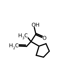 C=CC(C)(C(=O)O)C1CCCC1